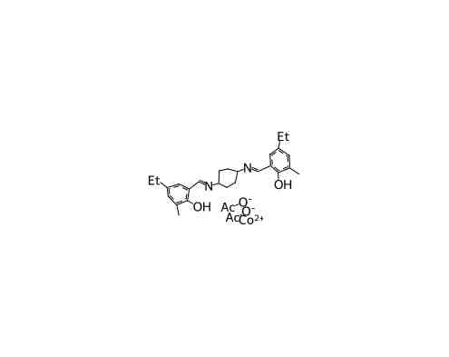 CC(=O)[O-].CC(=O)[O-].CCc1cc(C)c(O)c(C=NC2CCC(N=Cc3cc(CC)cc(C)c3O)CC2)c1.[Co+2]